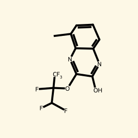 Cc1cccc2nc(O)c(OC(F)(C(F)F)C(F)(F)F)nc12